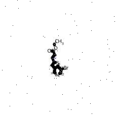 CCOC(=O)/C=C/c1cc2cncc(Br)c2s1